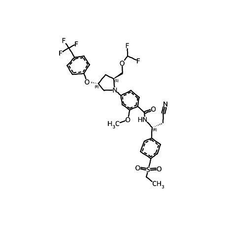 CCS(=O)(=O)c1ccc([C@@H](CC#N)NC(=O)c2ccc(N3C[C@H](Oc4ccc(C(F)(F)F)cc4)C[C@H]3COC(F)F)cc2OC)cc1